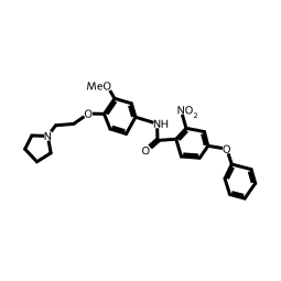 COc1cc(NC(=O)c2ccc(Oc3ccccc3)cc2[N+](=O)[O-])ccc1OCCN1CCCC1